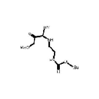 CCCC(NCCNC(=O)OC(C)(C)C)C(=O)COC